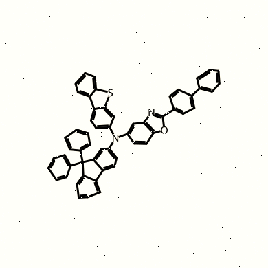 c1ccc(-c2ccc(-c3nc4cc(N(c5ccc6c(c5)C(c5ccccc5)(c5ccccc5)c5ccccc5-6)c5ccc6c(c5)sc5ccccc56)ccc4o3)cc2)cc1